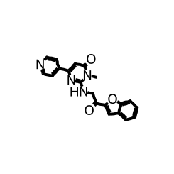 Cn1c(NCC(=O)c2cc3ccccc3o2)nc(-c2ccncc2)cc1=O